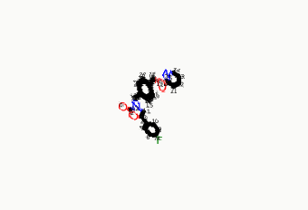 O=C1OC(c2ccc(F)cc2)CN1Cc1ccc(COc2ccccn2)cc1